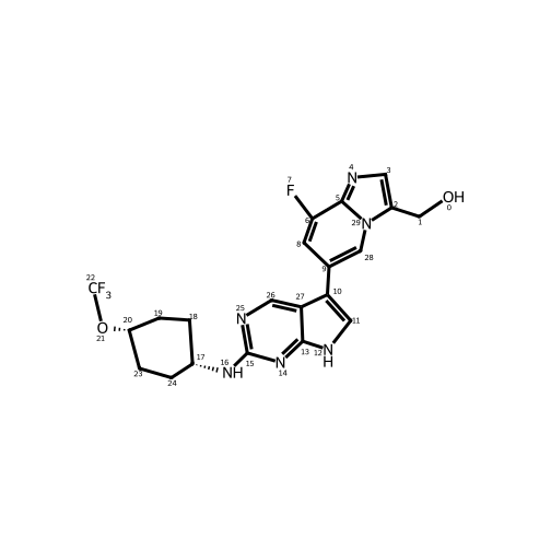 OCc1cnc2c(F)cc(-c3c[nH]c4nc(N[C@H]5CC[C@@H](OC(F)(F)F)CC5)ncc34)cn12